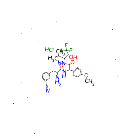 COc1ccc(C(NC(=O)C(N)Cc2cccc(C#N)c2)C(=O)NC(C(C)C)C(O)C(F)(F)F)cc1.Cl